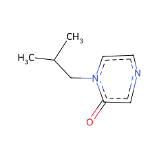 CC(C)Cn1ccncc1=O